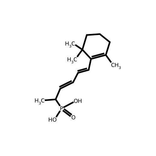 CC1=C(C=CC=CC(C)P(=O)(O)O)C(C)(C)CCC1